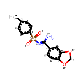 Cc1ccc(S(=O)(=O)/N=C(\N)c2ccc3c(c2)OCO3)cc1